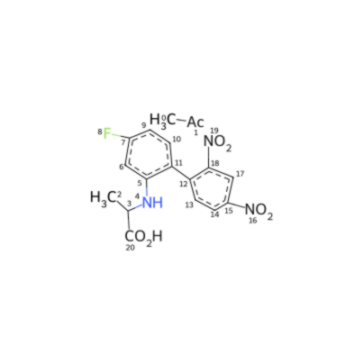 CC(C)=O.CC(Nc1cc(F)ccc1-c1ccc([N+](=O)[O-])cc1[N+](=O)[O-])C(=O)O